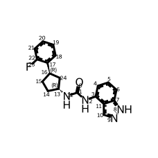 O=C(Nc1cccc2[nH]ncc12)N[C@@H]1CC[C@@H](c2ccccc2F)C1